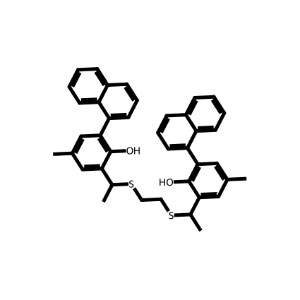 Cc1cc(-c2cccc3ccccc23)c(O)c(C(C)SCCSC(C)c2cc(C)cc(-c3cccc4ccccc34)c2O)c1